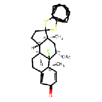 CC(=O)O[C@H]1C[C@@]2(C)[C@@H](CCC2(Sc2ccccc2)Sc2ccccc2)[C@@H]2CCC3=CC(=O)C=C[C@]3(C)C12F